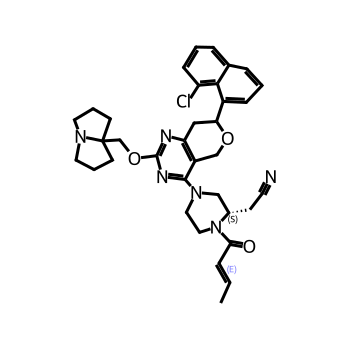 C/C=C/C(=O)N1CCN(c2nc(OCC34CCCN3CCC4)nc3c2COC(c2cccc4cccc(Cl)c24)C3)C[C@@H]1CC#N